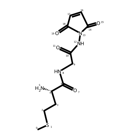 CSCC[C@H](N)C(=O)NCC(=O)NN1C(=O)C=CC1=O